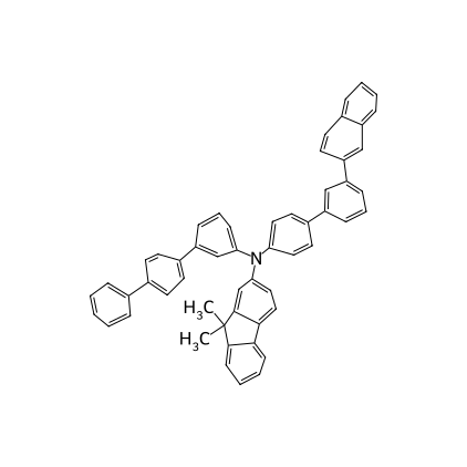 CC1(C)c2ccccc2-c2ccc(N(c3ccc(-c4cccc(-c5ccc6ccccc6c5)c4)cc3)c3cccc(-c4ccc(-c5ccccc5)cc4)c3)cc21